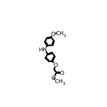 COC(=O)COc1ccc(Nc2ccc(OC)cc2)cc1